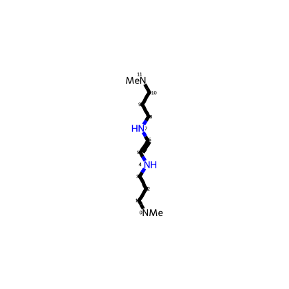 CNCCCNC=CNCCCNC